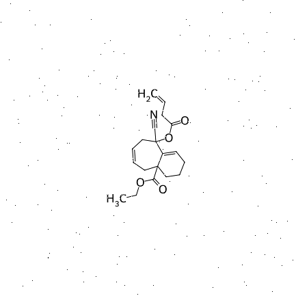 C=CCC(=O)OC1(C#N)CC=CCC2(C(=O)OCC)CCCC=C12